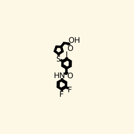 O=C(O)CC1CCC(Sc2cc(C(=O)Nc3ccc(F)c(F)c3)ccc2I)C1